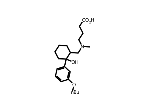 CCCCOc1cccc(C2(O)CCCCC2CN(C)CCCC(=O)O)c1